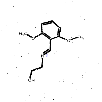 COc1cccc(OC)c1/C=N/CCO